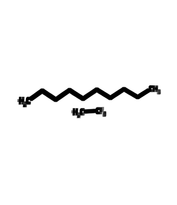 [CH2]C(F)(F)F.[CH2]CCCCCCCCC